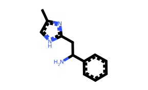 Cc1c[nH]c(CC(N)c2ccccc2)n1